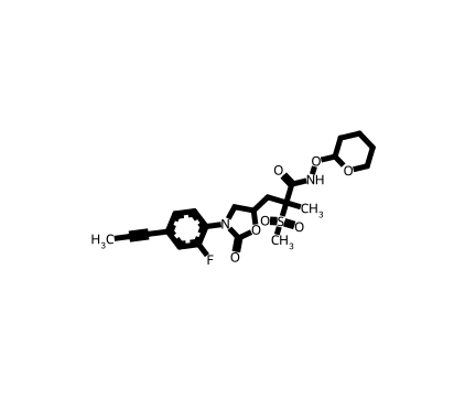 CC#Cc1ccc(N2CC(CC(C)(C(=O)NOC3CCCCO3)S(C)(=O)=O)OC2=O)c(F)c1